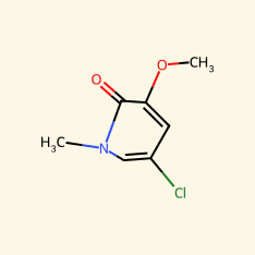 COc1cc(Cl)cn(C)c1=O